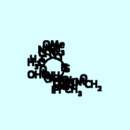 C=CC(=O)N1CCN(C(=O)N(C)[C@H](C(=O)N[C@H]2Cc3nc(cs3)-c3ccc4c(c3)c(c(-c3cccnc3[C@H](C)OC)n4CC)CC(C)(C)COC[C@@]3(C=O)CCCN(N3)C2=O)C(C)C)C2(CC2)C1